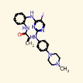 C=CC(=O)Nc1ccccc1Nc1nc(Nc2ccc(N3CCN(C)CC3)cc2)ncc1I